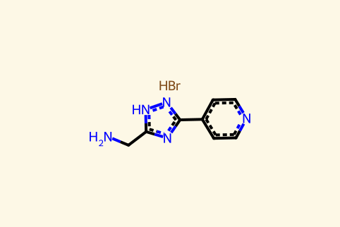 Br.NCc1nc(-c2ccncc2)n[nH]1